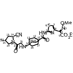 CCOC(=O)/C(=N/OC)c1csc(NC(=O)C23CCC(NCC(=O)N4C[C@@H](F)C[C@H]4C#N)(CC2)CC3)n1